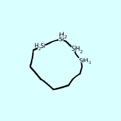 C1CCC[SiH2][SiH2][SiH2][SiH2]CC1